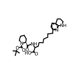 CC(C)(C)OC(=O)N1CCCC[C@H]1C(=O)NC(CCCCCCCc1ccc2c(n1)NCCC2)C(=O)O